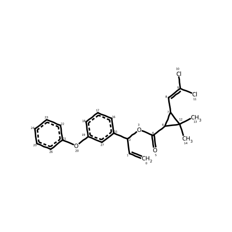 C=CC(OC(=O)C1C(C=C(Cl)Cl)C1(C)C)c1cccc(Oc2ccccc2)c1